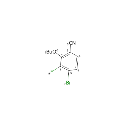 CC(C)COc1c(C#N)ccc(Br)c1F